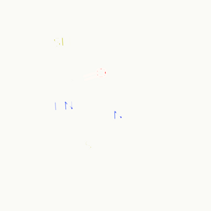 Cc1nc(NC(=O)CS)sc1C